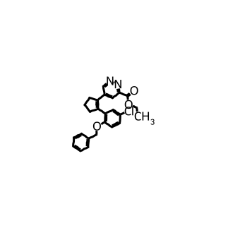 CCOC(=O)c1cc(C2=C(c3cc(Cl)ccc3OCc3ccccc3)CCC2)cnn1